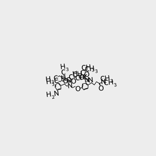 CC[Si](CC)(CC)OC(CN(CCOc1ccc2c(CCC(=O)N(C)C)nn(C(=O)OC(C)(C)C)c2c1)C(=O)OC(C)(C)C)c1cccc(N)c1